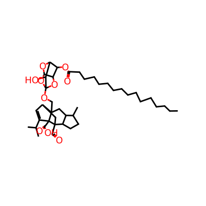 CCCCCCCCCCCCCCCC(=O)OC1C2OC3(OCC45CC6C(C)CCC6C6(C=O)CC4C=C(C(C)C)C65C(=O)O)OC2OC1C3O